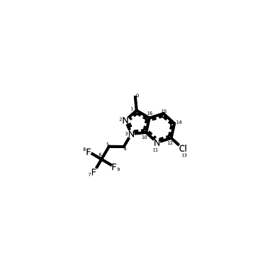 Cc1nn(CCC(F)(F)F)c2nc(Cl)ccc12